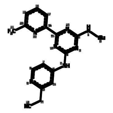 CC(C)(C)Nc1nc(Nc2ccnc(CC#N)c2)nc(-c2cccc(C(F)(F)F)n2)n1